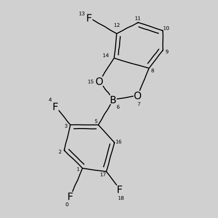 Fc1cc(F)c(B2Oc3cccc(F)c3O2)cc1F